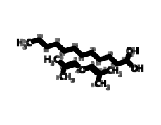 CC(C)=COC=C(C)C.CCCCCCCCCCCC(O)O